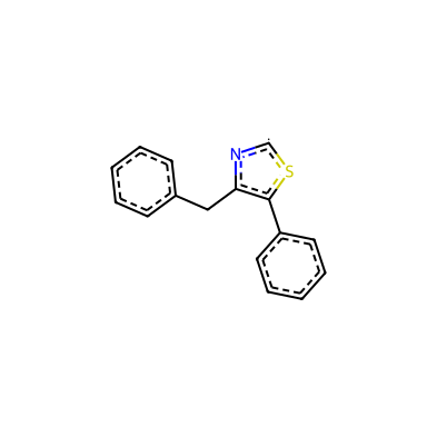 [c]1nc(Cc2ccccc2)c(-c2ccccc2)s1